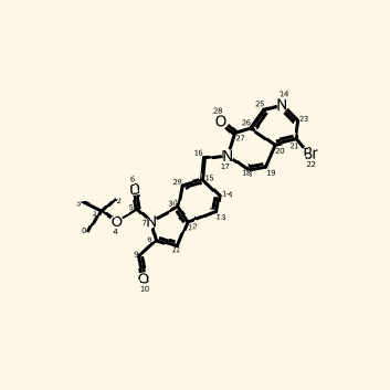 CC(C)(C)OC(=O)n1c(C=O)cc2ccc(Cn3ccc4c(Br)cncc4c3=O)cc21